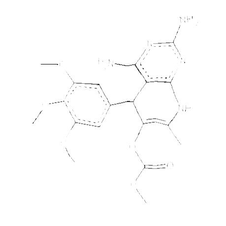 COC(=O)OC1=C(C)Nc2nc(N)nc(N)c2C1c1cc(OC)c(OC)c(OC)c1